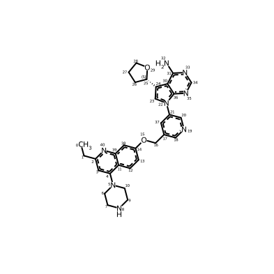 CCc1cc(N2CCNCC2)c2ccc(OCc3cncc(-n4cc([C@@H]5CCCO5)c5c(N)ncnc54)c3)cc2n1